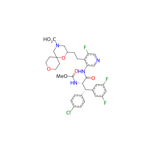 COC(=O)N[C@H](C(=O)Nc1cncc(F)c1CCC1CN(C(=O)O)CC2(CCOCC2)O1)[C@@H](c1ccc(Cl)cc1)c1cc(F)cc(F)c1